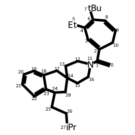 C=C(C1=CC(CC)=C(C(C)(C)C)C=CC1)N1CCC2(CC1)Cc1ccccc1C(CCC(C)C)C2